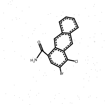 NC(=O)c1cc(Br)c(Cl)c2cc3ccccc3cc12